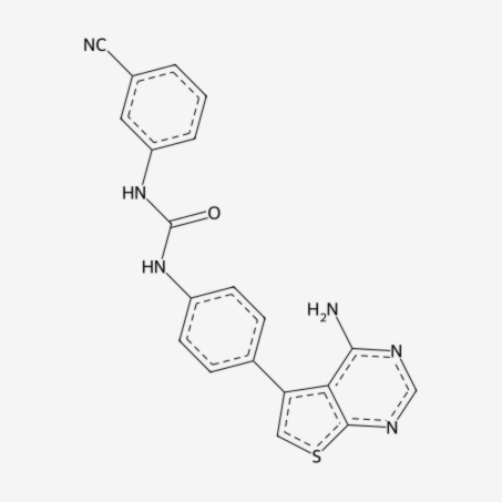 N#Cc1cccc(NC(=O)Nc2ccc(-c3csc4ncnc(N)c34)cc2)c1